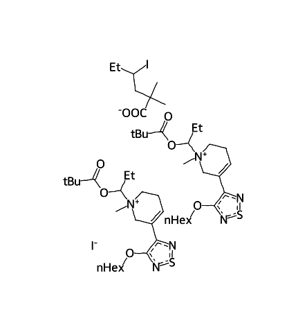 CCC(I)CC(C)(C)C(=O)[O-].CCCCCCOc1nsnc1C1=CCC[N+](C)(C(CC)OC(=O)C(C)(C)C)C1.CCCCCCOc1nsnc1C1=CCC[N+](C)(C(CC)OC(=O)C(C)(C)C)C1.[I-]